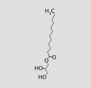 CCCCCCCCCCCC(=O)OC[C@H](O)CO